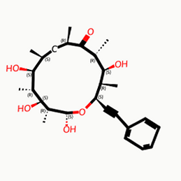 C[C@@H]1[C@@H](O)[C@H](C)[C@@H](O)[C@@H](C)C[C@@H](C)C(=O)[C@H](C)[C@@H](O)[C@@H](C)[C@@H](C#Cc2ccccc2)O[C@@H]1O